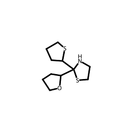 C1COC(C2(C3CCCS3)NCCS2)C1